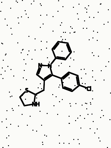 Clc1ccc(-c2c(CC3NCCS3)cnn2-c2ccccc2)cc1